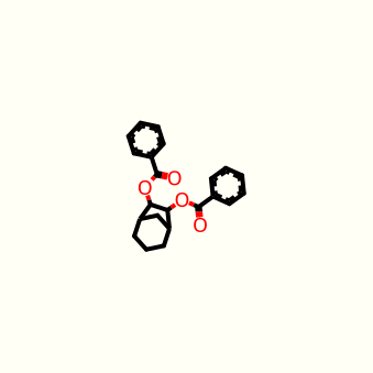 O=C(OC1C2CCCC(C2)C1OC(=O)c1ccccc1)c1ccccc1